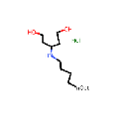 CCCCCCCCCCCCNC(CCO)CCO.Cl